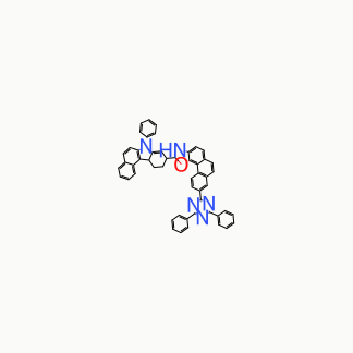 C1=C2C(CCC1C1Nc3ccc4ccc5cc(-c6nc(-c7ccccc7)nc(-c7ccccc7)n6)ccc5c4c3O1)c1c(ccc3ccccc13)N2c1ccccc1